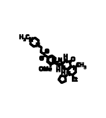 CCC1CN(C)C2=C(N[C@](N)(Nc3ccc(S(=O)(=O)CCN4CCN(C)CC4)cc3OC)NC2=O)N1C1CCCC1